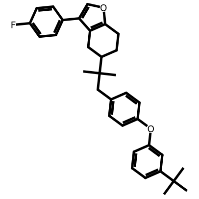 CC(C)(C)c1cccc(Oc2ccc(CC(C)(C)C3CCc4occ(-c5ccc(F)cc5)c4C3)cc2)c1